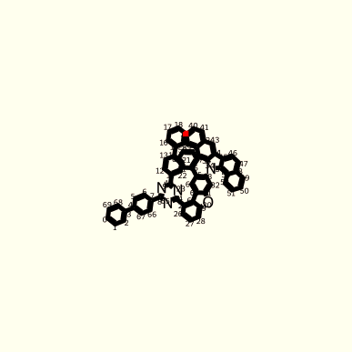 c1ccc(-c2ccc(-c3nc(-c4ccc(-c5ccccc5)cc4)nc(-c4cccc5oc6cc(-n7c8cc9ccccc9cc8c8ccc9ccccc9c87)c(-c7ccccc7)cc6c45)n3)cc2)cc1